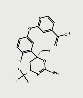 NC1=N[C@H](C(F)(F)F)C[C@@](CF)(c2cc(Oc3cc(C(=O)O)ccn3)ccc2F)O1